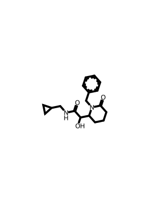 O=C(NCC1CC1)C(O)C1CCCC(=O)N1Cc1ccccc1